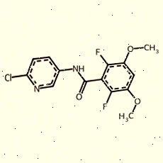 COc1cc(OC)c(F)c(C(=O)Nc2ccc(Cl)nc2)c1F